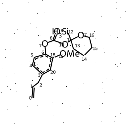 C=CCc1ccc(OC(=O)OC2([SiH3])CCCCO2)c(OC)c1